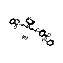 Cl.Cl.O=C(NC1CCCCC1)c1ccc(OCCCN(CCCn2ccc3ccccc3c2=O)c2ccncc2)cc1